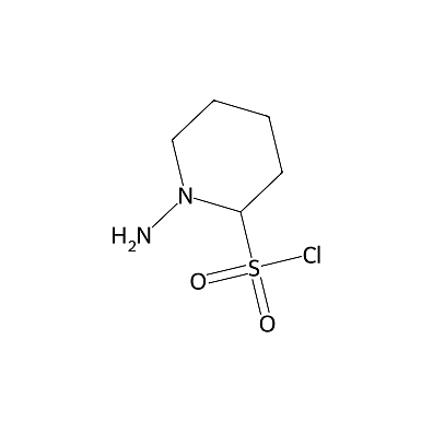 NN1CCCCC1S(=O)(=O)Cl